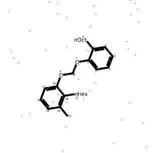 CCCCCCCCc1ccccc1O[CH]Oc1cccc(C)c1CCCCCC